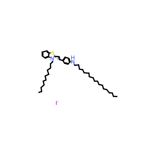 CCCCCCCCCCCCCCCCCCNc1ccc(/C=C/c2sc3ccccc3[n+]2CCCCCCCCCCCC)cc1.[I-]